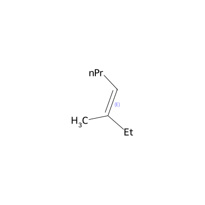 C[CH]C/C=C(\C)CC